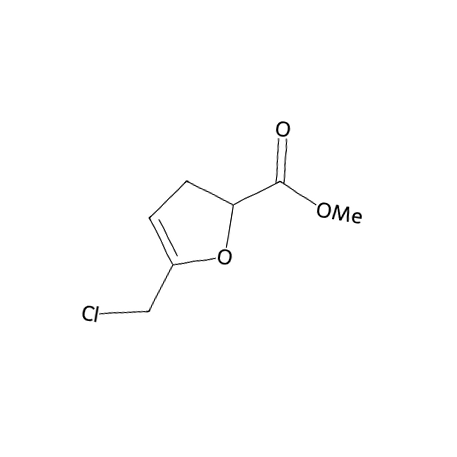 COC(=O)C1CC=C(CCl)O1